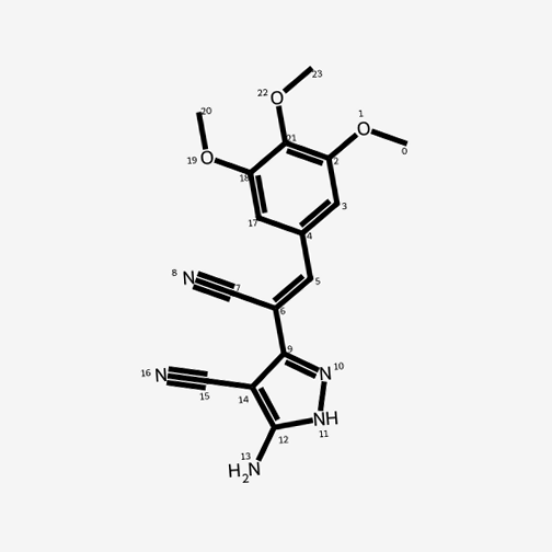 COc1cc(C=C(C#N)c2n[nH]c(N)c2C#N)cc(OC)c1OC